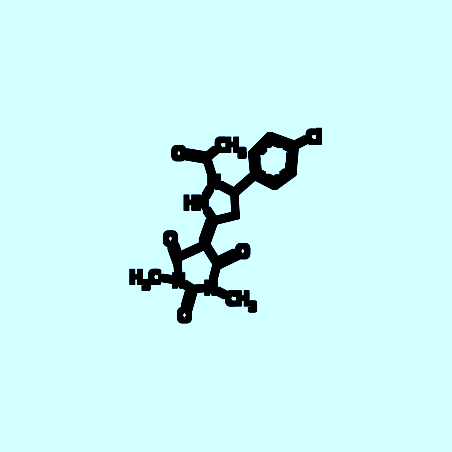 CC(=O)N1NC(=C2C(=O)N(C)C(=O)N(C)C2=O)CC1c1ccc(Cl)cc1